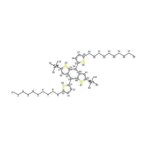 CCCCCCCCCCc1ccc(-c2c3c[c]([Sn]([CH3])([CH3])[CH3])sc3c(-c3ccc(CCCCCCCCCC)s3)c3c[c]([Sn]([CH3])([CH3])[CH3])sc23)s1